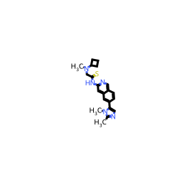 Cc1ncc(-c2ccc3cnc(NC(=S)CN(C)C4CCC4)cc3c2)n1C